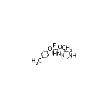 Cc1ccc(OC(F)(F)C(=O)N[C@H]2CCNC[C@@H]2C)cc1